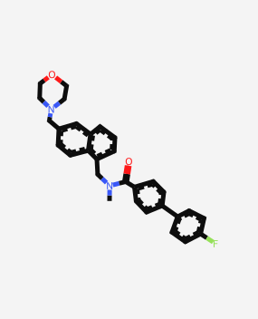 CN(Cc1cccc2cc(CN3CCOCC3)ccc12)C(=O)c1ccc(-c2ccc(F)cc2)cc1